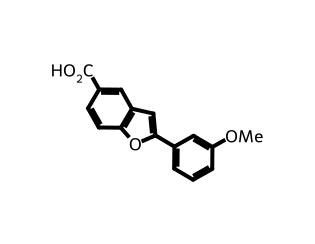 COc1cccc(-c2cc3cc(C(=O)O)ccc3o2)c1